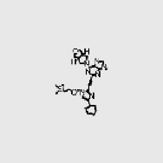 Cn1cnc2c(N3C[C@H]4COC[C@H]4C3)nc(C#Cc3nc(-c4ccccc4)cn3COCC[Si](C)(C)C)nc21